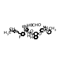 C[C@H]1CCCCN1c1nnc2ccc(O[C@@H]3CC[C@H](NC(=O)Nc4cc(C(C)(C)C)nn4-c4ccc(F)c(CCN5CC(N(C)C)C5)c4)c4ccccc43)cn12.O=CO